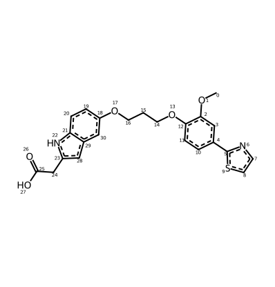 COc1cc(-c2nccs2)ccc1OCCCOc1ccc2[nH]c(CC(=O)O)cc2c1